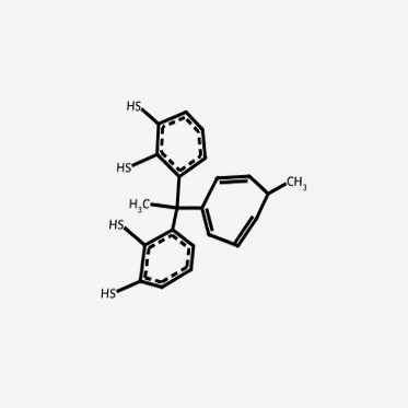 CC1C=CC=C(C(C)(c2cccc(S)c2S)c2cccc(S)c2S)C=C1